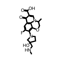 CNCC1(O)CCN(c2c(F)cc3c(=O)c(C(=O)O)cn4c3c2OCC4C)C1